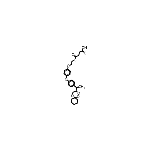 C=C(c1ccc(Oc2ccc(OCCOC(=O)CCC(=O)O)cc2)cc1)C1COC2(CCCCC2)OO1